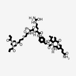 C=CC(=O)N1CN(C(=O)C=C)CN(C(=O)CCSCC(=O)N[C@H](C(=O)N[C@@H](CCCNC(N)O)C(=O)Nc2ccc(COC(=O)N3C(=C(\O)C(=C)C)/C(=C\C)C(=O)N4C=C(/C=C/C(N)=O)C[C@H]4[C@@H]3O)cc2)C(C)C)C1